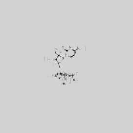 Nc1ccn([C@@H]2O[C@](F)(COP(=O)(O)OP(=O)(O)OP(=O)(O)O)C(O)[C@]2(F)CF)c(=S)n1